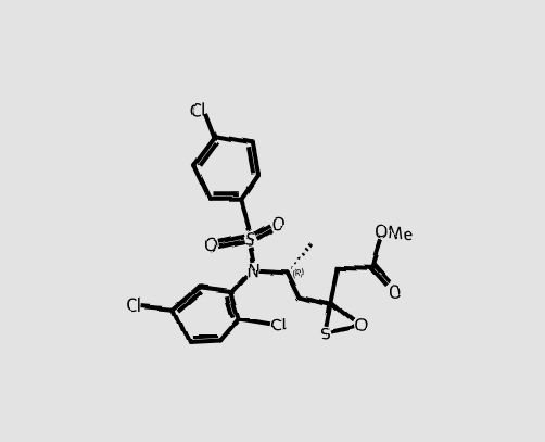 COC(=O)CC1(C[C@@H](C)N(c2cc(Cl)ccc2Cl)S(=O)(=O)c2ccc(Cl)cc2)OS1